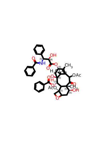 CC(=O)OC1C(=O)[C@@]2(C)C([C@H](OC(=O)c3ccccc3)[C@]3(O)C[C@H](OC(=O)[C@H](O)[C@@H](NC(=O)c4ccccc4)c4ccccc4)C(C)=C1C3(C)C)[C@]1(OC(C)=O)COC1C[C@@H]2O